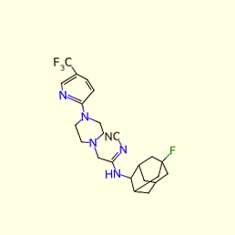 N#CN=C(CN1CCN(c2ccc(C(F)(F)F)cn2)CC1)NC1C2CC3CC1CC(F)(C3)C2